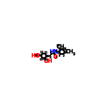 Cc1ccc(NC(=O)CCc2ccc(O)cc2O)c(C)c1